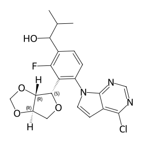 CC(C)C(O)c1ccc(-n2ccc3c(Cl)ncnc32)c([C@@H]2OC[C@H]3OCO[C@@H]32)c1F